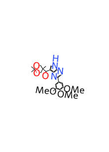 COc1cc(-c2cnc3[nH]cc(C(=O)C4(C)COC(C)(C)OC4)c3n2)cc(OC)c1OC